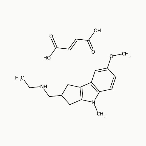 CCNCC1Cc2c(n(C)c3ccc(OC)cc23)C1.O=C(O)C=CC(=O)O